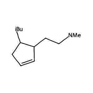 CCC(C)C1CC=CC1CCNC